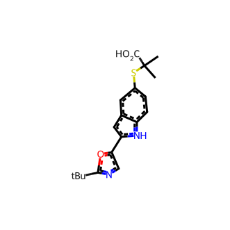 CC(C)(Sc1ccc2[nH]c(-c3cnc(C(C)(C)C)o3)cc2c1)C(=O)O